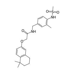 Cc1cc(CNC(=O)COc2ccc3c(c2)CCCC3(C)C)ccc1NS(C)(=O)=O